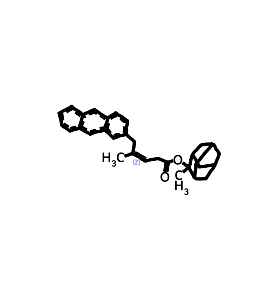 C/C(=C/CC(=O)OC1(C)C2CC3CC(C2)CC1C3)Cc1ccc2cc3ccccc3cc2c1